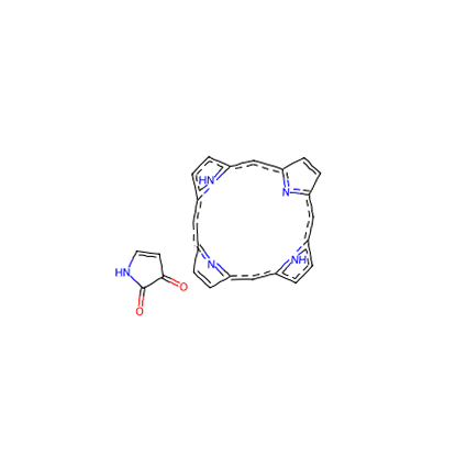 C1=Cc2cc3ccc(cc4nc(cc5ccc(cc1n2)[nH]5)C=C4)[nH]3.O=C1C=CNC1=O